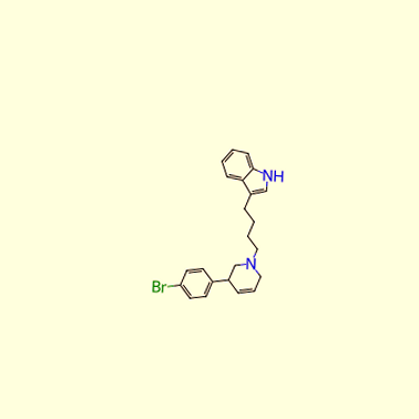 Brc1ccc(C2C=CCN(CCCCc3c[nH]c4ccccc34)C2)cc1